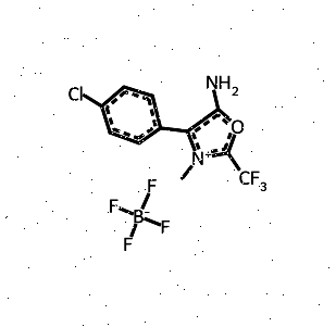 C[n+]1c(C(F)(F)F)oc(N)c1-c1ccc(Cl)cc1.F[B-](F)(F)F